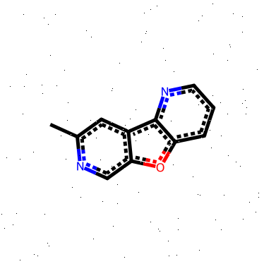 Cc1cc2c(cn1)oc1cccnc12